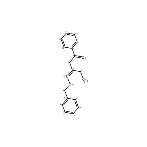 CC/C(CC(=O)c1ccccc1)=N\OCc1ccccc1